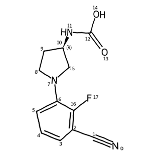 N#Cc1cccc(N2CC[C@@H](NC(=O)O)C2)c1F